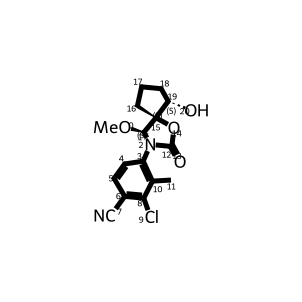 CO[C@@H]1N(c2ccc(C#N)c(Cl)c2C)C(=O)O[C@]12CCC[C@@H]2O